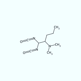 CCCC(C(N=C=O)N=C=O)N(C)C